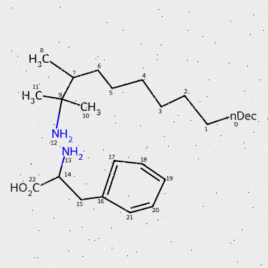 CCCCCCCCCCCCCCCCC(C)C(C)(C)N.NC(Cc1ccccc1)C(=O)O